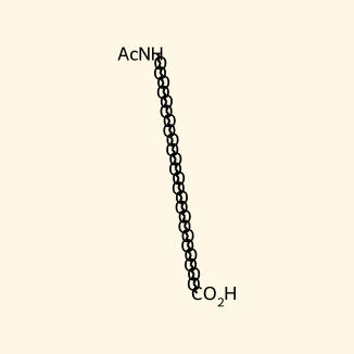 CC(=O)NCCOCCOCCOCCOCCOCCOCCOCCOCCOCCOCCOCCOCCOCCOCCOCCOCCOCCOCCOCCOCCOCCOCCOCCOCCC(=O)O